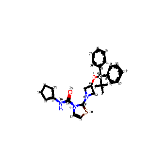 CC(C)(C)[Si](OC1CN(C2SC=CN2C(=O)NC2CCCC2)C1)(c1ccccc1)c1ccccc1